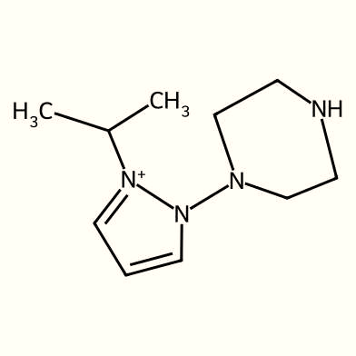 CC(C)[n+]1cccn1N1CCNCC1